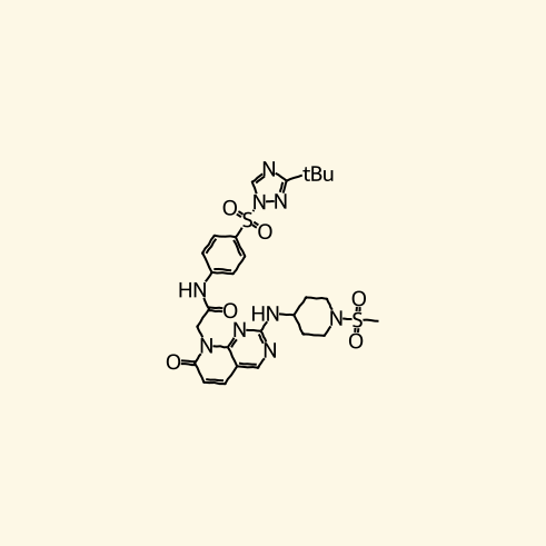 CC(C)(C)c1ncn(S(=O)(=O)c2ccc(NC(=O)Cn3c(=O)ccc4cnc(NC5CCN(S(C)(=O)=O)CC5)nc43)cc2)n1